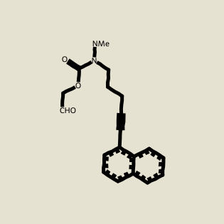 CNN(CCCC#Cc1cccc2ccccc12)C(=O)OCC=O